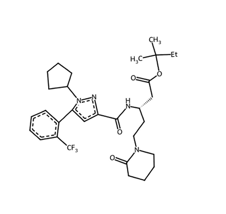 CCC(C)(C)OC(=O)C[C@H](CCN1CCCCC1=O)NC(=O)c1cc(-c2ccccc2C(F)(F)F)n(C2CCCC2)n1